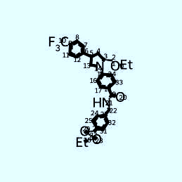 CCOC[C@@H]1CC(c2ccc(C(F)(F)F)cc2)CN1c1ccc(C(=O)NCc2ccc(S(=O)(=O)CC)cc2)cc1